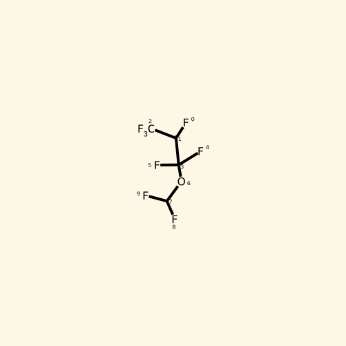 F[C](C(F)(F)F)C(F)(F)OC(F)F